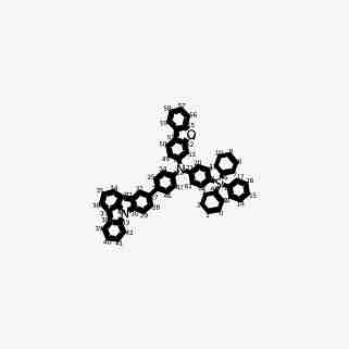 C1=CCCC([Si](C2=CC=CCC2)(c2ccccc2)c2ccc(N(c3ccc(-c4ccc5c(c4)c4cccc6c7ccccc7n5c64)cc3)c3ccc4c(c3)oc3ccccc34)cc2)=C1